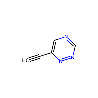 C#Cc1cncnn1